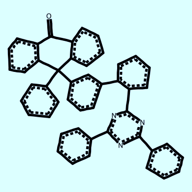 O=C1c2ccccc2C(c2ccccc2)(c2cccc(-c3ccccc3-c3nc(-c4ccccc4)nc(-c4ccccc4)n3)c2)c2ccccc21